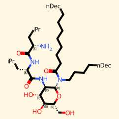 CCCCCCCCCCCCCCCCCC(=O)N(CCCCCCCCCCCCCC)[C@@H]1O[C@H](CO)[C@@H](O)[C@H](O)[C@H]1NC(=O)[C@H](CC(C)C)NC(=O)[C@@H](N)CC(C)C